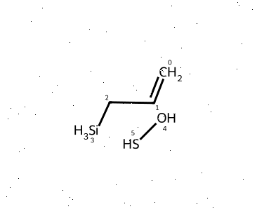 C=CC[SiH3].OS